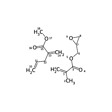 C=C(C)C(=O)OCC1CO1.C=CCC(=C)C(=O)OC